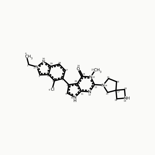 CCn1cc2c(Cl)c(-c3c[nH]c4nc(N5CCC6(CNC6)C5)n(C)c(=O)c34)ccc2n1